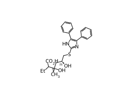 CCC(C(=O)O)[C@@](C)(O)C[C@H](O)CSc1nc(-c2ccccc2)c(-c2ccccc2)[nH]1